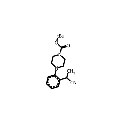 CC(C#N)c1ccccc1N1CCN(C(=O)OC(C)(C)C)CC1